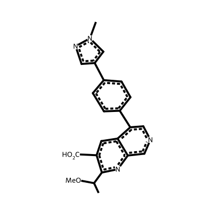 COC(C)c1nc2cncc(-c3ccc(-c4cnn(C)c4)cc3)c2cc1C(=O)O